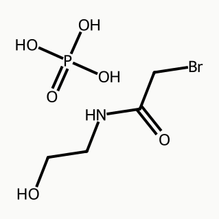 O=C(CBr)NCCO.O=P(O)(O)O